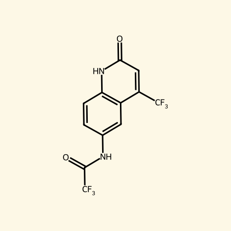 O=C(Nc1ccc2[nH]c(=O)cc(C(F)(F)F)c2c1)C(F)(F)F